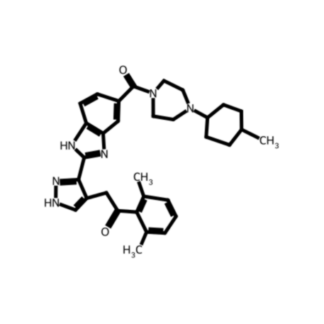 Cc1cccc(C)c1C(=O)Cc1c[nH]nc1-c1nc2cc(C(=O)N3CCN(C4CCC(C)CC4)CC3)ccc2[nH]1